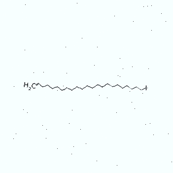 C=CCCCCCCCCCCCCCCCCCCCCCI